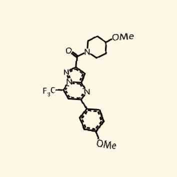 COc1ccc(-c2cc(C(F)(F)F)n3nc(C(=O)N4CCC(OC)CC4)cc3n2)cc1